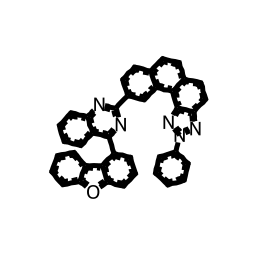 c1ccc(-n2nc3ccc4ccc5ccc(-c6nc(-c7cccc8oc9ccccc9c78)c7ccccc7n6)cc5c4c3n2)cc1